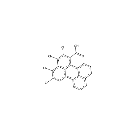 O=C(O)c1c(Cl)c(Cl)c2c(Cl)c(Cl)cc3c4cccc5cccc(c1c23)c54